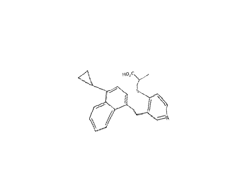 CC(Sc1ccncc1Cc1ccc(C2CC2)c2ccccc12)C(=O)O